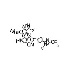 COc1ncnc(C2CC2)c1-c1nc(OCc2ccc(-c3nc(C(F)(F)F)cn3C3CC3)cc2)c2c(C#N)c[nH]c2n1